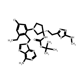 CCc1cc(Cl)cc(N2CC[C@@](CCc3nnc(NC)s3)(NC(=O)OC(C)(C)C)C2)c1Cn1cnc2c(N)ncnc21